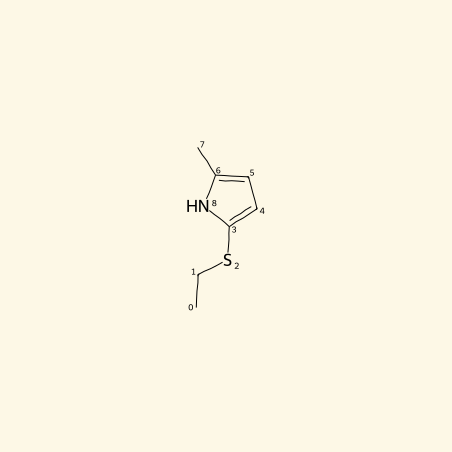 CCSc1ccc(C)[nH]1